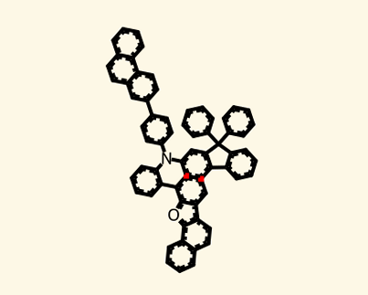 c1ccc(C2(c3ccccc3)c3ccccc3-c3ccc(N(c4ccc(-c5ccc6c(ccc7ccccc76)c5)cc4)c4ccccc4-c4cccc5c4oc4c6ccccc6ccc54)cc32)cc1